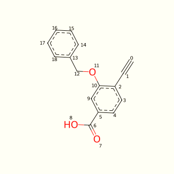 C#Cc1ccc(C(=O)O)cc1OCc1ccccc1